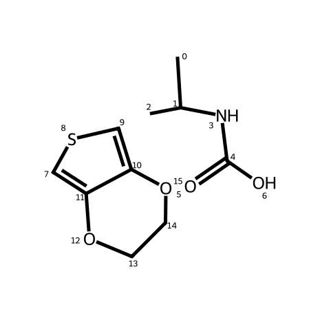 CC(C)NC(=O)O.c1scc2c1OCCO2